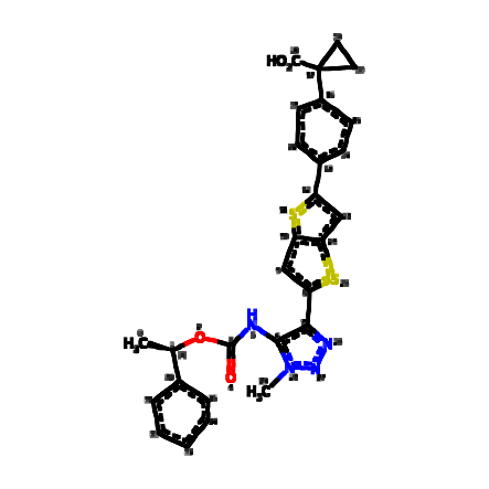 C[C@@H](OC(=O)Nc1c(-c2cc3sc(-c4ccc(C5(C(=O)O)CC5)cc4)cc3s2)nnn1C)c1ccccc1